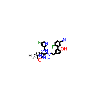 CC1(C)COc2nc3c(NCCc4ccc(O)c(-c5cc(C#N)ccc5F)c4)nc(-c4cncc(F)c4)nc3n21